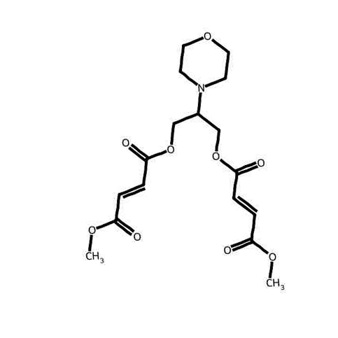 COC(=O)/C=C/C(=O)OCC(COC(=O)/C=C/C(=O)OC)N1CCOCC1